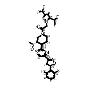 C[S+]([O-])C1CN(C(=O)Cn2nc(C(F)F)cc2C(F)F)CCC1c1nc(C2=NOC(c3c(F)cccc3F)C2)cs1